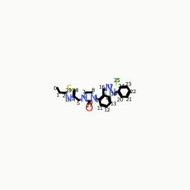 CCc1nc(CN2CCN(c3cccc4c3cnn4-c3ccccc3F)C2=O)cs1